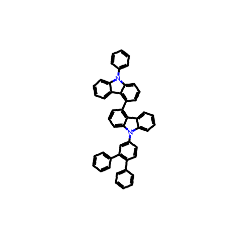 c1ccc(-c2ccc(-n3c4ccccc4c4c(-c5cccc6c5c5ccccc5n6-c5ccccc5)cccc43)cc2-c2ccccc2)cc1